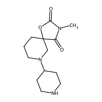 CN1C(=O)OC2(CCCN(C3CCNCC3)C2)C1=O